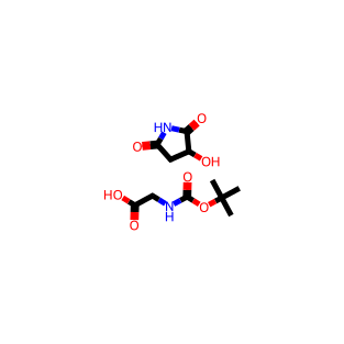 CC(C)(C)OC(=O)NCC(=O)O.O=C1CC(O)C(=O)N1